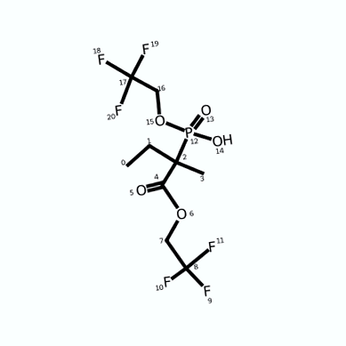 CCC(C)(C(=O)OCC(F)(F)F)P(=O)(O)OCC(F)(F)F